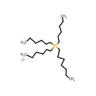 CCCCCCC[P+](CCCCCC)(CCCCCC)CCCCCC.[Cl-]